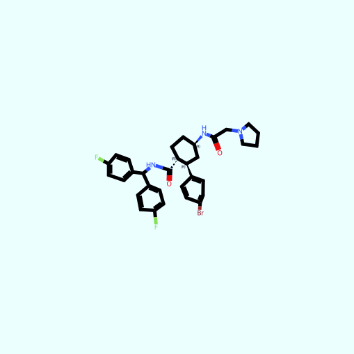 O=C(CN1CCCC1)N[C@@H]1CC[C@@H](C(=O)NC(c2ccc(F)cc2)c2ccc(F)cc2)[C@H](c2ccc(Br)cc2)C1